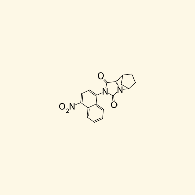 O=C1C2C3CCC(C3)N2C(=O)N1c1ccc([N+](=O)[O-])c2ccccc12